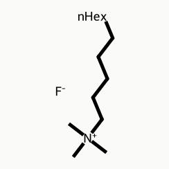 CCCCCCCCCCC[N+](C)(C)C.[F-]